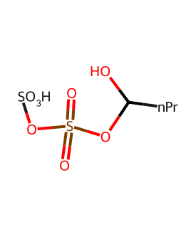 CCCC(O)OS(=O)(=O)OS(=O)(=O)O